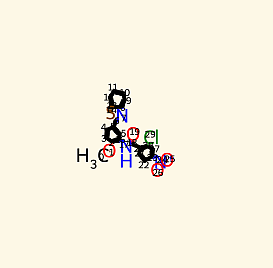 COc1ccc(-c2nc3ccccc3s2)cc1NC(=O)c1ccc([N+](=O)[O-])cc1Cl